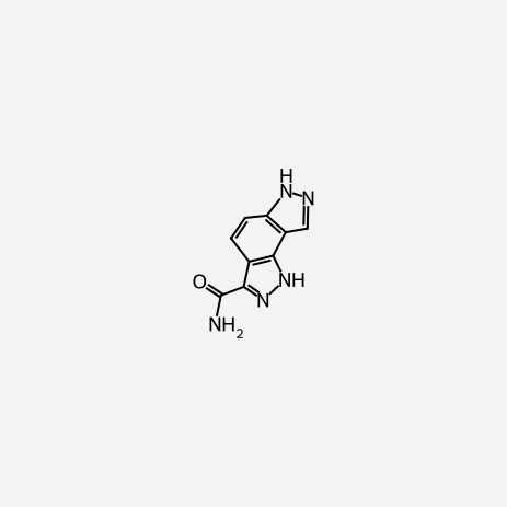 NC(=O)c1n[nH]c2c1ccc1[nH]ncc12